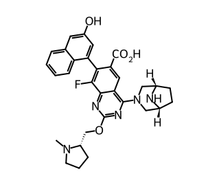 CN1CCC[C@H]1COc1nc(N2C[C@H]3CC[C@@H](C2)N3)c2cc(C(=O)O)c(-c3cc(O)cc4ccccc34)c(F)c2n1